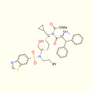 COC(=O)N(C(=O)[C@@H](N)C(c1ccccc1)c1ccccc1)[C@H](CCC[C@@H](CO)N(CCC(C)C)S(=O)(=O)c1ccc2ncsc2c1)C1CC1